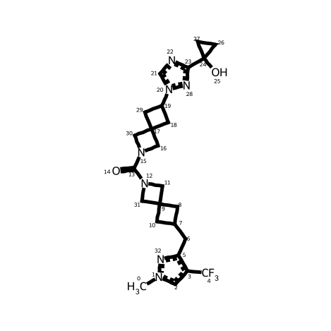 Cn1cc(C(F)(F)F)c(CC2CC3(C2)CN(C(=O)N2CC4(CC(n5cnc(C6(O)CC6)n5)C4)C2)C3)n1